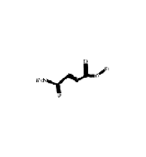 CCOC(=O)C=CC(=O)NC